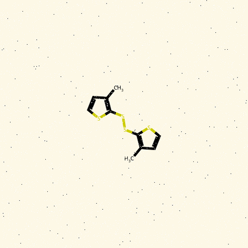 Cc1ccsc1SSc1sccc1C